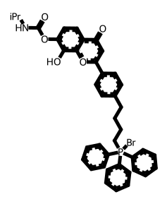 CC(C)NC(=O)Oc1ccc2c(=O)cc(-c3ccc(CCCCP(Br)(c4ccccc4)(c4ccccc4)c4ccccc4)cc3)oc2c1O